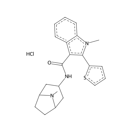 CN1C2CCC1CC(NC(=O)c1c(-c3cccs3)n(C)c3ccccc13)C2.Cl